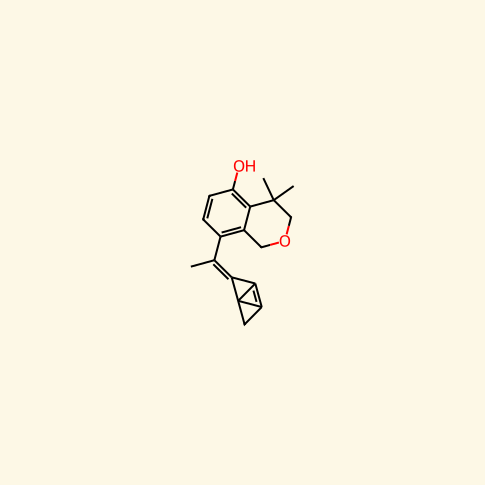 CC(=C1C2=C3CC312)c1ccc(O)c2c1COCC2(C)C